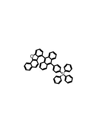 c1ccc([Si](c2ccccc2)(c2ccccc2)c2ccc(-c3c4ccccc4c(-c4cccc5oc6c7ccccc7ccc6c45)c4ccccc34)cc2)cc1